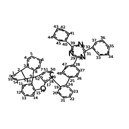 C1=CC2c3ccccc3C3(c4ccccc4Oc4c(-c5ccccc5-c5ccc(-c6nc(-c7ccccc7)nc(-c7ccccc7)n6)cc5)cccc43)C2C=C1